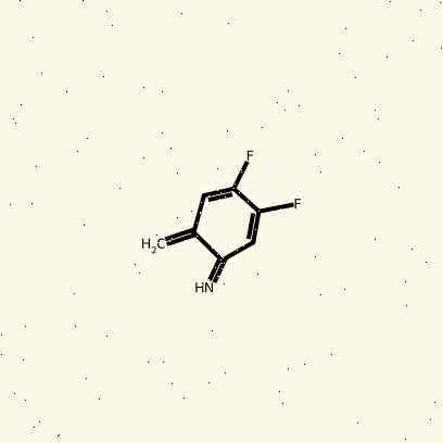 C=C1C=C(F)C(F)=CC1=N